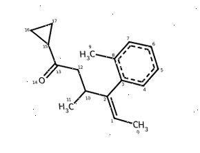 C/C=C(\c1ccccc1C)C(C)CC(=O)C1CC1